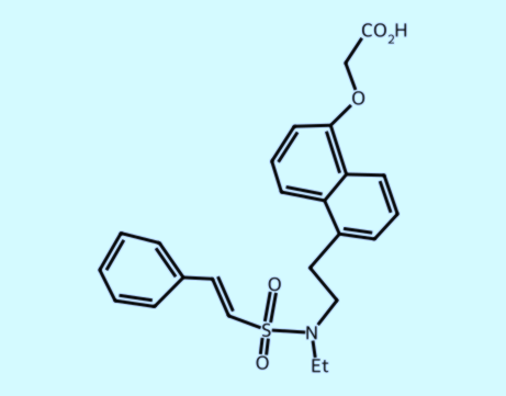 CCN(CCc1cccc2c(OCC(=O)O)cccc12)S(=O)(=O)C=Cc1ccccc1